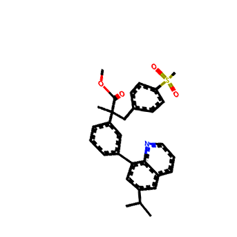 COC(=O)C(C)(Cc1ccc(S(C)(=O)=O)cc1)c1cccc(-c2cc(C(C)C)cc3cccnc23)c1